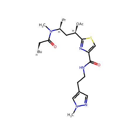 CC[C@H](C)CC(=O)N(C)[C@H](C[C@@H](OC(C)=O)c1nc(C(=O)NCCc2cnn(C)c2)cs1)C(C)C